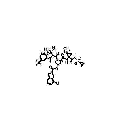 CC[C@H]1C[C@]1(NC(=O)[C@@H]1C[C@@H](OC(=O)N2Cc3cccc(Cl)c3C2)CN1C(=O)[C@@H](Nc1cc(F)cc(C(F)(F)F)c1)C(C)(C)C)C(=O)NS(=O)(=O)C1CC1